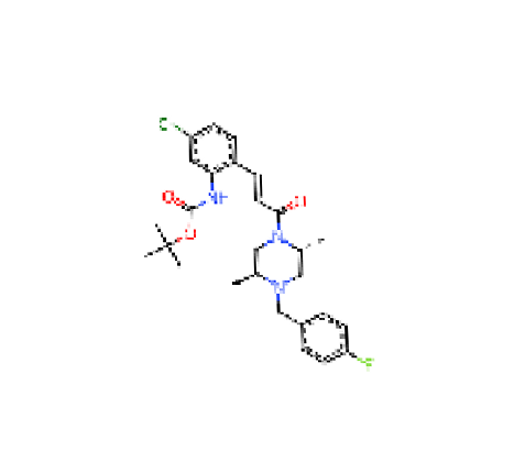 C[C@@H]1CN(Cc2ccc(F)cc2)[C@@H](C)CN1C(=O)C=Cc1ccc(Cl)cc1NC(=O)OC(C)(C)C